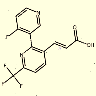 O=C(O)/C=C/c1ccc(C(F)(F)F)nc1-c1cnccc1F